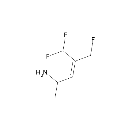 CC(N)C=C(CF)C(F)F